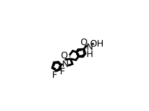 O=C(NO)c1ccc2c(c1)CC[C@@]1(CCN(c3cccc(F)c3F)C1=O)C2